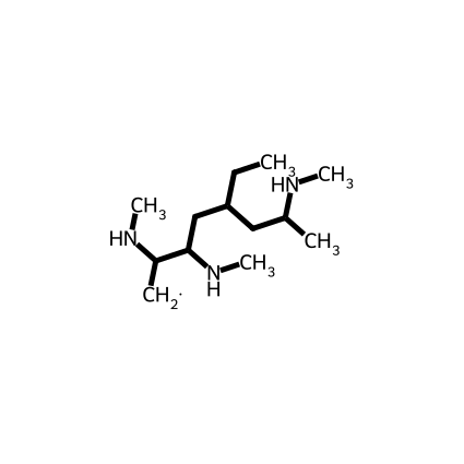 [CH2]C(NC)C(CC(CC)CC(C)NC)NC